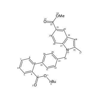 CCCCOC(=O)c1ccccc1-c1ccc(Cn2c(C)cc3cc(C(=O)OC)ccc32)cc1